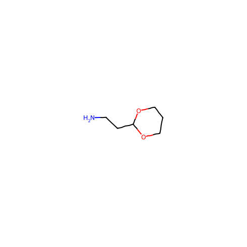 NCCC1OCCCO1